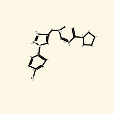 C=C(/N=C\N(C)Cc1cn(-c2ccc(Cl)cc2)nn1)C1CCCC1